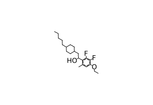 CCCCCC1CCC(CC(O)c2c(C)cc(OCC)c(F)c2F)CC1